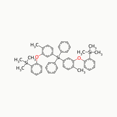 Cc1ccc([Si](c2ccccc2)(c2ccccc2)c2ccc(C)c(Oc3ccccc3[Si](C)(C)C)c2)cc1Oc1ccccc1[Si](C)(C)C